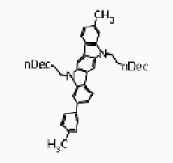 CCCCCCCCCCCCn1c2cc(C)ccc2c2cc3c(cc21)c1ccc(-c2ccc(C)cc2)cc1n3CCCCCCCCCCCC